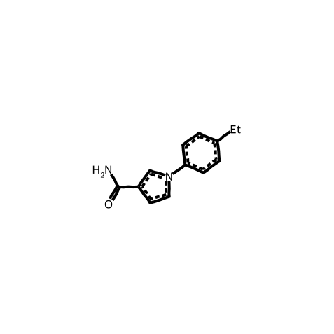 CCc1ccc(-n2ccc(C(N)=O)c2)cc1